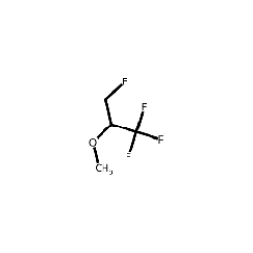 COC(CF)C(F)(F)F